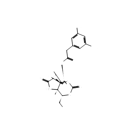 N=C1N[C@H]2[C@H](CO)NC(=N)N3C[C@H](OC(=O)Cc4cc(C(F)(F)F)cc(C(F)(F)F)c4)C(O)(O)[C@]23N1